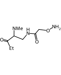 CCC(=O)C(CNC(=O)CON)NC